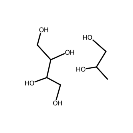 CC(O)CO.OCC(O)C(O)CO